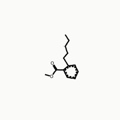 CC[CH]CCc1ccccc1C(=O)OC